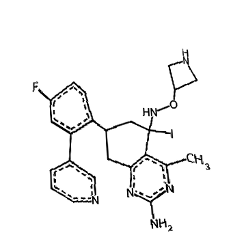 Cc1nc(N)nc2c1C(I)(NOC1CNC1)CC(c1ccc(F)cc1-c1cccnc1)C2